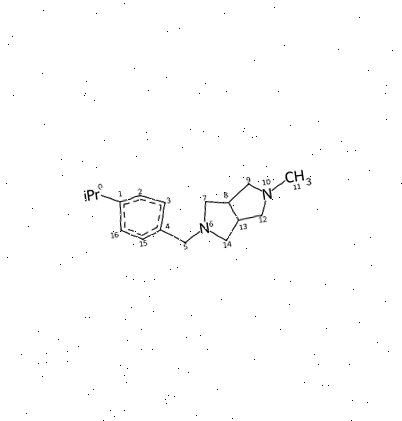 CC(C)c1ccc(CN2CC3CN(C)CC3C2)cc1